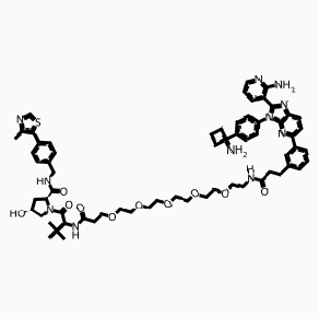 Cc1ncsc1-c1ccc(CNC(=O)[C@@H]2C[C@@H](O)CN2C(=O)C(NC(=O)CCOCCOCCOCCOCCOCCNC(=O)CCc2cccc(-c3ccc4nc(-c5cccnc5N)n(-c5ccc(C6(N)CCC6)cc5)c4n3)c2)C(C)(C)C)cc1